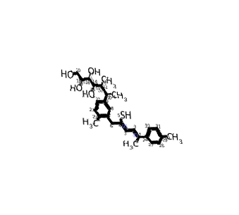 C/C(=C\C=C(/S)Cc1cc([C@H](C)[C@H](C)[C@@H](O)[C@H](O)[C@H](O)CO)ccc1C)c1ccc(C)cc1